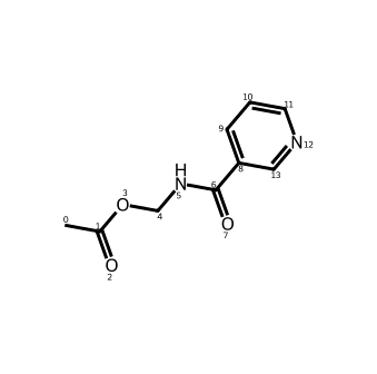 CC(=O)OCNC(=O)c1cccnc1